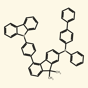 CC1(C)c2cc(N(c3ccccc3)c3ccc(-c4ccccc4)cc3)ccc2-c2c(-c3ccc(-n4c5ccccc5c5ccccc54)cc3)cccc21